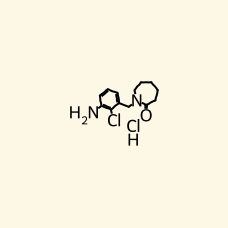 Cl.Nc1cccc(CN2CCCCCC2=O)c1Cl